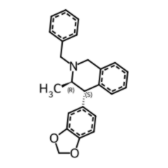 C[C@@H]1[C@@H](c2ccc3c(c2)OCO3)c2ccccc2CN1Cc1ccccc1